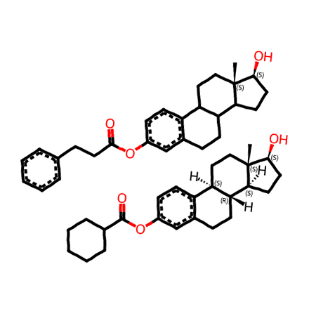 C[C@]12CCC3c4ccc(OC(=O)CCc5ccccc5)cc4CCC3C1CC[C@@H]2O.C[C@]12CC[C@@H]3c4ccc(OC(=O)C5CCCCC5)cc4CC[C@H]3[C@@H]1CC[C@@H]2O